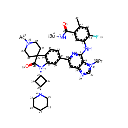 CC[C@@H](C)NC(=O)c1cc(Nc2nc(-c3ccc4c(c3)N([C@H]3C[C@@H](N5CCCCC5)C3)C(=O)C43CCN(C(C)=O)CC3)cc3ncn(C(C)C)c23)c(F)cc1C